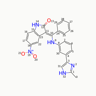 Cc1nc(-c2cccc(NC(=C3C(=O)Nc4ccc([N+](=O)[O-])cc43)c3ccccc3)c2)c[nH]1